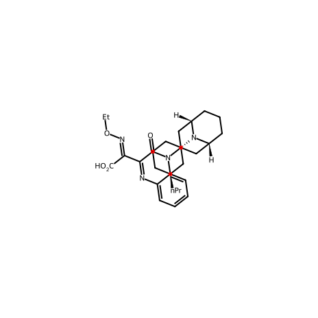 CCC[C@H]1CCC[C@H](N2[C@@H]3CCC[C@H]2CC(n2c(=O)c(/C(=N/OCC)C(=O)O)nc4ccccc42)C3)C1